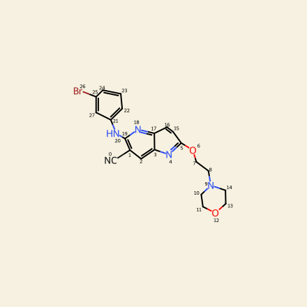 N#Cc1cc2nc(OCCN3CCOCC3)ccc2nc1Nc1cccc(Br)c1